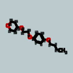 CCCCOc1ccc(OCCOC2CCOCC2)cc1